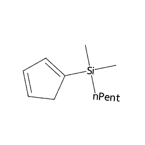 CCCCC[Si](C)(C)C1=CC=CC1